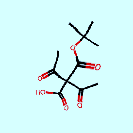 CC(=O)C(C(C)=O)(C(=O)O)C(=O)OC(C)(C)C